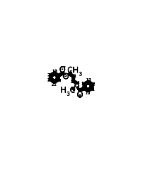 CC(CCCN(C)C(=O)c1ccccc1)OC(=O)c1ccccc1